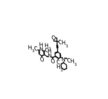 CCN(c1cc(C#CC2(C)COC2)cc(C(=O)NCc2c(C)[nH]c(C)cc2=O)c1C)C1CCCCC1